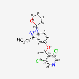 CC(Oc1ccc2c(c1)c(C(=O)O)nn2C1CCCCO1)c1c(Cl)cncc1Cl